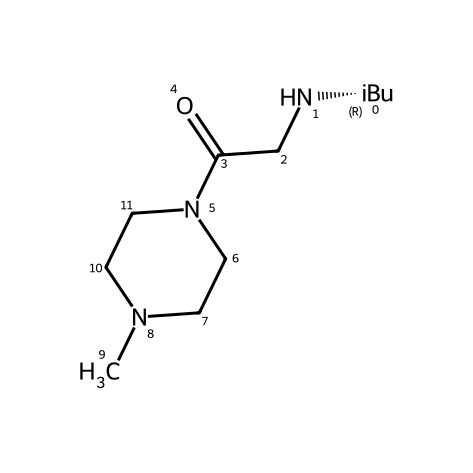 CC[C@@H](C)NCC(=O)N1CCN(C)CC1